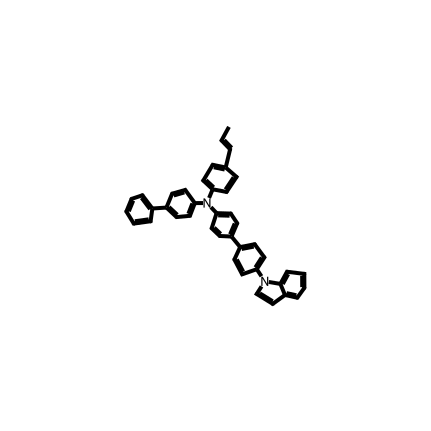 C/C=C/c1ccc(N(c2ccc(-c3ccccc3)cc2)c2ccc(-c3ccc(-n4ccc5ccccc54)cc3)cc2)cc1